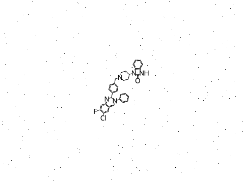 O=c1[nH]c2ccccc2n1C1CCN(Cc2ccc(C3N=c4cc(F)c(Cl)cc4=CN3c3ccccc3)cc2)CC1